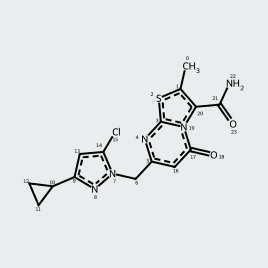 Cc1sc2nc(Cn3nc(C4CC4)cc3Cl)cc(=O)n2c1C(N)=O